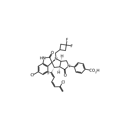 C=C(Cl)/C=C\C=C(/F)[C@H]1[C@@H]2C(=O)N(c3ccc(C(=O)O)cc3)C[C@@H]2N(CC2CC(F)(F)C2)[C@@]12C(=O)Nc1cc(Cl)ccc12